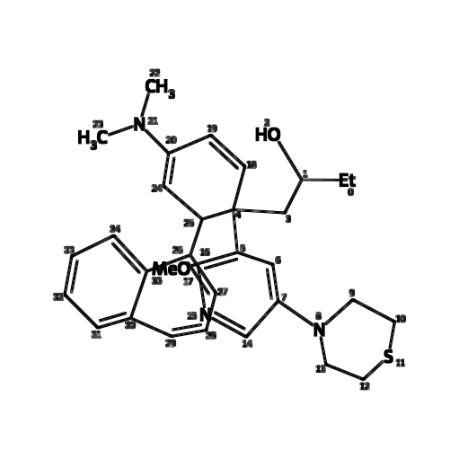 CCC(O)CC1(c2cc(N3CCSCC3)cnc2OC)C=CC(N(C)C)=CC1c1cccc2ccccc12